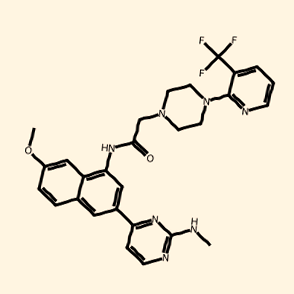 CNc1nccc(-c2cc(NC(=O)CN3CCN(c4ncccc4C(F)(F)F)CC3)c3cc(OC)ccc3c2)n1